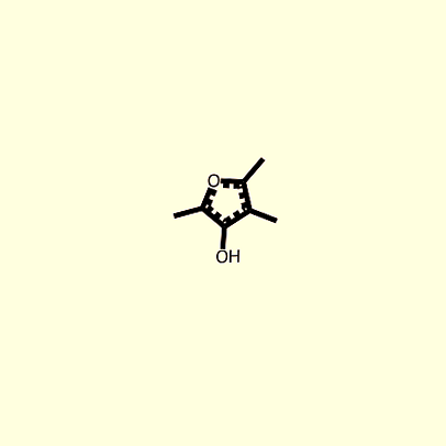 Cc1oc(C)c(O)c1C